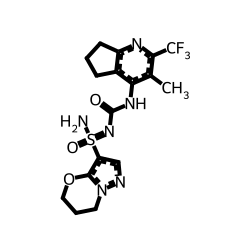 Cc1c(C(F)(F)F)nc2c(c1NC(=O)N=S(N)(=O)c1cnn3c1OCCC3)CCC2